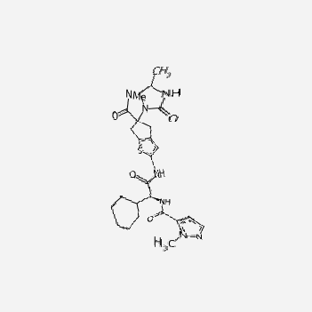 CNC(=O)C1(N2CC(C)NC2=O)Cc2cc(NC(=O)[C@@H](NC(=O)c3ccnn3C)C3CCCCC3)sc2C1